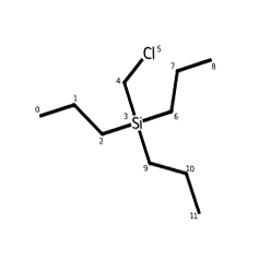 CCC[Si](CCl)(CCC)CCC